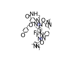 CCn1nc(C)cc1C(=O)/N=c1\n(C)c2cc(C(N)=O)cc(OCc3ccc(OC)cc3)c2n1CC(F)C(F)C(F)(F)n1/c(=N/C(=O)c2cc(C)nn2CC)n(C)c2ccccc21